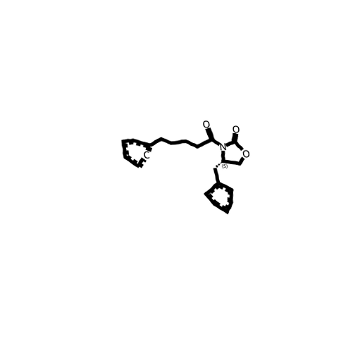 O=C(CCCCc1ccccc1)N1C(=O)OC[C@@H]1Cc1ccccc1